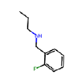 CCCNCc1ccccc1F